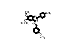 COc1cccc(CNc2nc(-c3ccc(C)cc3)nc3cc(OC)c(OC)cc23)c1.Cl